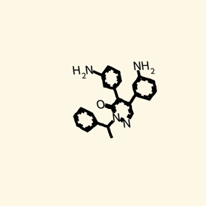 CC(c1ccccc1)n1ncc(-c2cccc(N)c2)c(-c2cccc(N)c2)c1=O